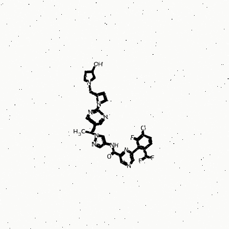 CC(c1cnc(N2CCC2CN2CCC(O)C2)nc1)n1cc(NC(=O)c2cncc(-c3c(C(F)F)ccc(Cl)c3F)n2)cn1